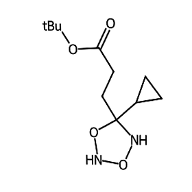 CC(C)(C)OC(=O)CCC1(C2CC2)NONO1